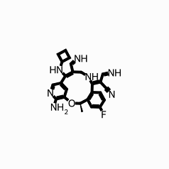 C[C@H]1Oc2cc(cnc2N)/C(NC2CCC2)=C(/C=N)CN/C(=C(/C#N)C=N)c2ccc(F)cc21